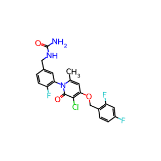 Cc1cc(OCc2ccc(F)cc2F)c(Cl)c(=O)n1-c1cc(CNC(N)=O)ccc1F